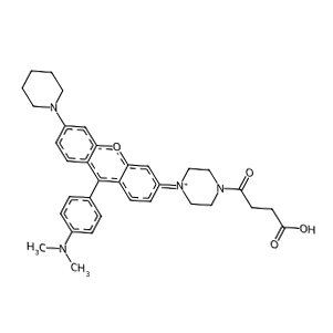 CN(C)c1ccc(-c2c3ccc(=[N+]4CCN(C(=O)CCC(=O)O)CC4)cc-3oc3cc(N4CCCCC4)ccc23)cc1